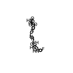 Cc1[nH]c(/C=C2\C(=O)Nc3ccc(F)cc32)c(C)c1C(=O)NCCN1CCN(CC2CCN(c3ccc4c(c3)C(=O)N(C3CCC(=O)NC3=O)C4=O)CC2)CC1